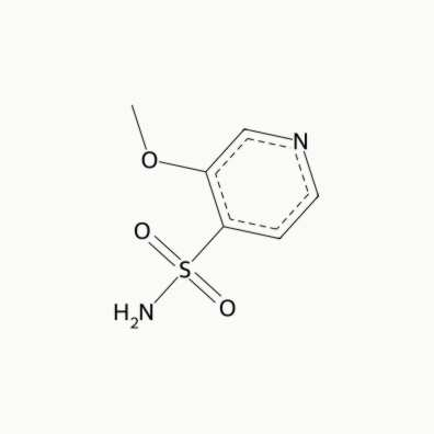 COc1cnccc1S(N)(=O)=O